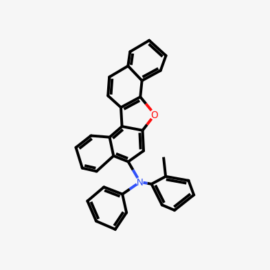 Cc1ccccc1N(c1ccccc1)c1cc2oc3c4ccccc4ccc3c2c2ccccc12